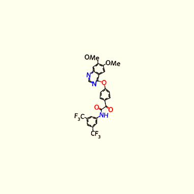 COc1cc2ncnc(Oc3ccc(C(=O)C(=O)Nc4cc(C(F)(F)F)cc(C(F)(F)F)c4)cc3)c2cc1OC